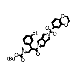 CCc1cccc(C(CN(C)C(=O)OC(C)(C)C)C(=O)N2CC3=CN(S(=O)(=O)c4ccc5c(c4)OCCO5)CC3C2)c1